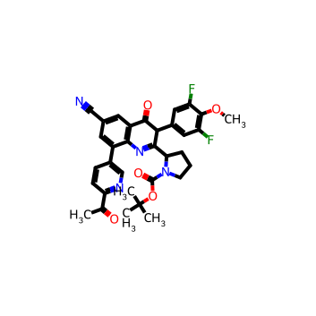 COc1c(F)cc(C2C(=O)c3cc(C#N)cc(-c4ccc(C(C)=O)nc4)c3N=C2C2CCCN2C(=O)OC(C)(C)C)cc1F